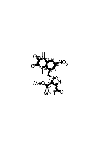 COC(=O)c1nnn(Cc2cc([N+](=O)[O-])cc3[nH]c(=O)c(=O)[nH]c23)c1C(=O)OC